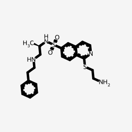 C[C@H](CNCCc1ccccc1)NS(=O)(=O)c1ccc2c(SCCN)nccc2c1